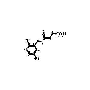 CCc1cnc(Cl)c(COC(=O)CCC(=O)O)c1